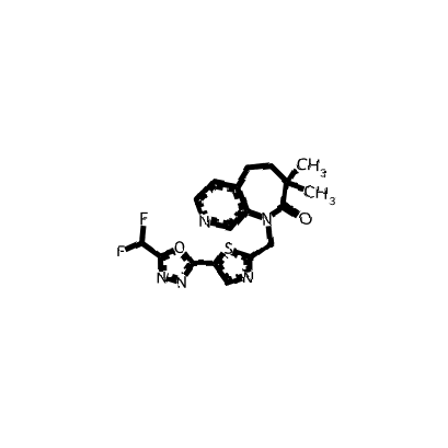 CC1(C)CCc2ccncc2N(Cc2ncc(-c3nnc(C(F)F)o3)s2)C1=O